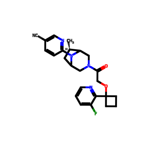 C[C@H]1CC2CN(C(=O)COC3(c4ncccc4F)CCC3)CC1N2c1ccc(C#N)cn1